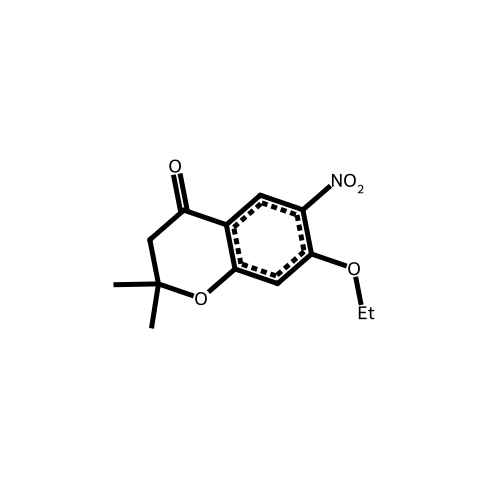 CCOc1cc2c(cc1[N+](=O)[O-])C(=O)CC(C)(C)O2